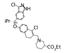 CCOC(=O)C1CCCN(CC2=C(Cl)c3ccc(O[C@@H](c4ccc5[nH]nc(Cl)c5c4)C(C)C)cc3CC2)C1